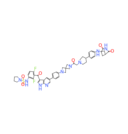 O=C(c1c(F)ccc(NS(=O)(=O)N2CCCC2)c1F)c1c[nH]c2ncc(-c3ccc(N4CC5(CN(C(=O)CN6CCC(c7ccc(NC89CC(C8)C(=O)NC9=O)cc7)CC6)C5)C4)cc3)cc12